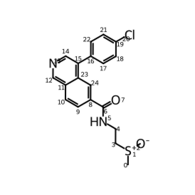 C[S+]([O-])CCNC(=O)c1ccc2cncc(-c3ccc(Cl)cc3)c2c1